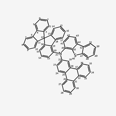 c1ccc2c(c1)-c1ccccc1C21c2ccccc2-c2c(N(c3ccc4c5ccccc5c5ccccc5c4c3)c3cccc4c3sc3ccccc34)cccc21